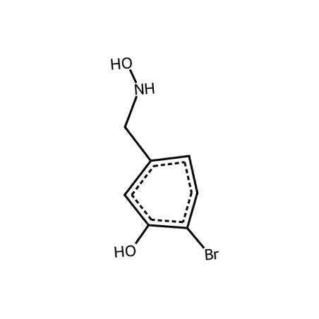 ONCc1ccc(Br)c(O)c1